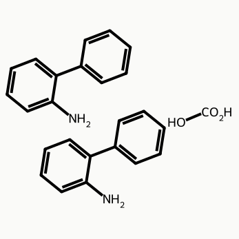 Nc1ccccc1-c1ccccc1.Nc1ccccc1-c1ccccc1.O=C(O)O